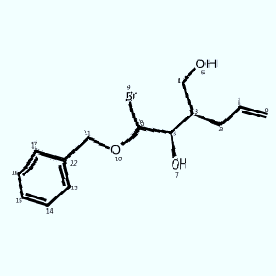 C=CC[C@H](CO)[C@@H](O)C(Br)OCc1ccccc1